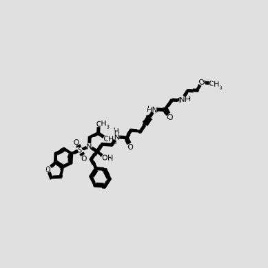 COCCNCC(=O)NC#CCCC(=O)NCCC(O)(Cc1ccccc1)N(CC(C)C)S(=O)(=O)c1ccc2c(c1)CCO2